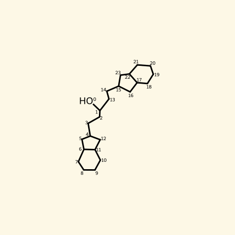 OC(CCC1CC2CCCCC2C1)CCC1CC2CCCCC2C1